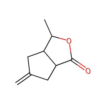 C=C1CC2C(=O)OC(C)C2C1